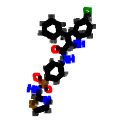 O=C(Nc1ccc(S(=O)(=O)Nc2nccs2)cc1)c1[nH]c2ccc(Cl)cc2c1-c1ccccc1